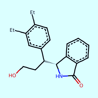 CCc1ccc(C(CCO)[C@H]2NC(=O)c3ccccc32)cc1CC